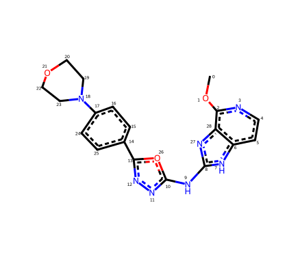 COc1nccc2[nH]c(Nc3nnc(-c4ccc(N5CCOCC5)cc4)o3)nc12